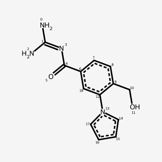 NC(N)=NC(=O)c1ccc(CO)c(-n2cccc2)c1